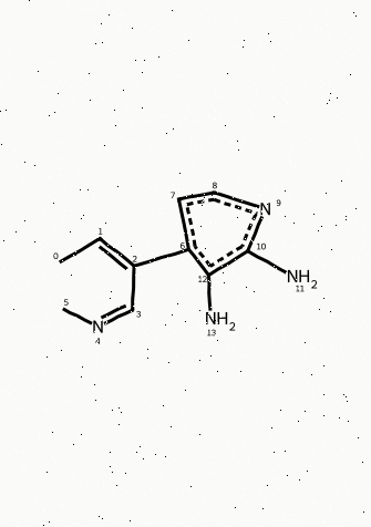 C/C=C(\C=N/C)c1ccnc(N)c1N